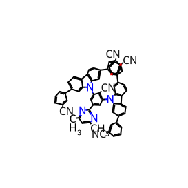 Cc1cc(C)nc(-c2cc(-n3c4cc(-c5cccc(C#N)c5)ccc4c4ccc(-c5cccc(C#N)c5)cc43)c(C#N)c(-n3c4cc(-c5cccc(C#N)c5)ccc4c4ccc(-c5cccc(C#N)c5)cc43)c2)n1